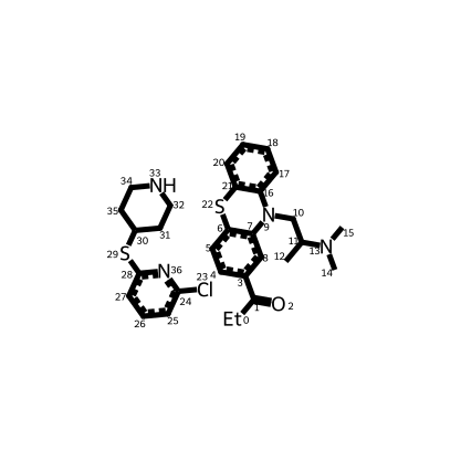 CCC(=O)c1ccc2c(c1)N(CC(C)N(C)C)c1ccccc1S2.Clc1cccc(SC2CCNCC2)n1